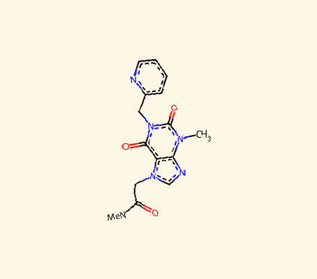 CNC(=O)Cn1cnc2c1c(=O)n(Cc1ccccn1)c(=O)n2C